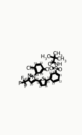 CC(C)(C)C(=O)NS(=O)(=O)c1cccc(-c2ccc(-c3cc(C(F)(F)F)nn3-c3cc(Cl)ccc3Cl)s2)c1